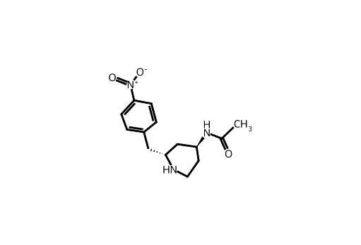 CC(=O)N[C@H]1CCN[C@H](Cc2ccc([N+](=O)[O-])cc2)C1